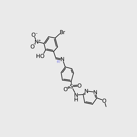 COc1ccc(NS(=O)(=O)c2ccc(/N=C/c3cc(Br)cc([N+](=O)[O-])c3O)cc2)nn1